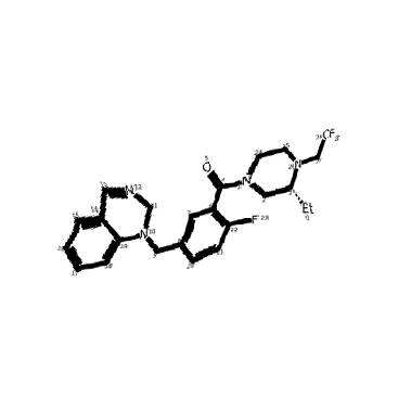 CC[C@@H]1CN(C(=O)c2cc(CN3CN=Cc4ccccc43)ccc2F)CCN1CC(F)(F)F